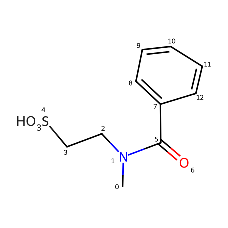 CN(CCS(=O)(=O)O)C(=O)c1ccccc1